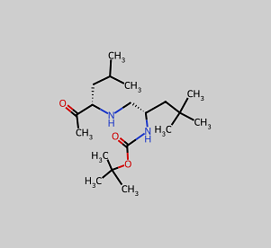 CC(=O)[C@H](CC(C)C)NC[C@H](CC(C)(C)C)NC(=O)OC(C)(C)C